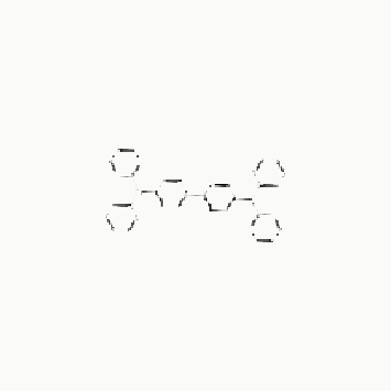 c1ccc(C(c2ccccc2)c2ccc(-c3ccc(N(c4ccccc4)c4ccccc4)cc3)cc2)cc1